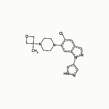 CC1(N2CCN(c3cc4c(cnn4-c4cn[nH]c4)cc3Cl)CC2)COC1